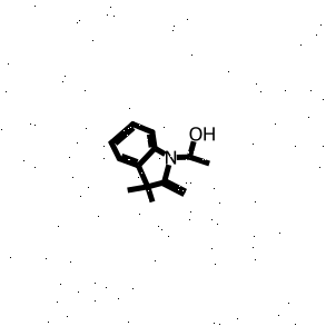 C=C1N(C(C)O)c2ccccc2C1(C)C